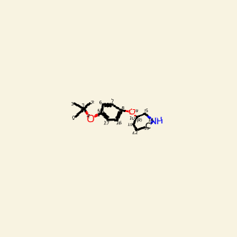 CC(C)(C)Oc1ccc(O[C@@H]2CCCNC2)cc1